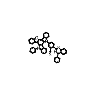 N#Cc1cc(-n2c3ccccc3c3c4oc5ccccc5c4c4c(c5ccccc5n4-c4ccccc4)c32)ccc1-c1nc(-c2ccccc2)c2ccccc2n1